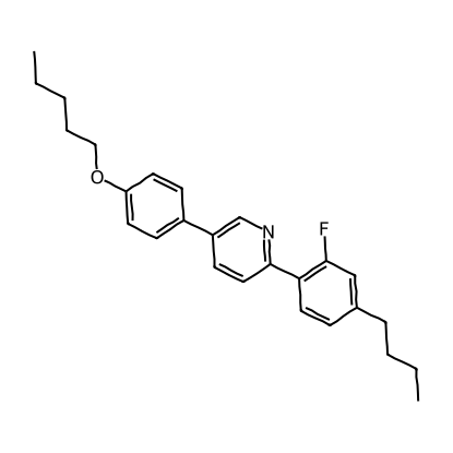 CCCCCOc1ccc(-c2ccc(-c3ccc(CCCC)cc3F)nc2)cc1